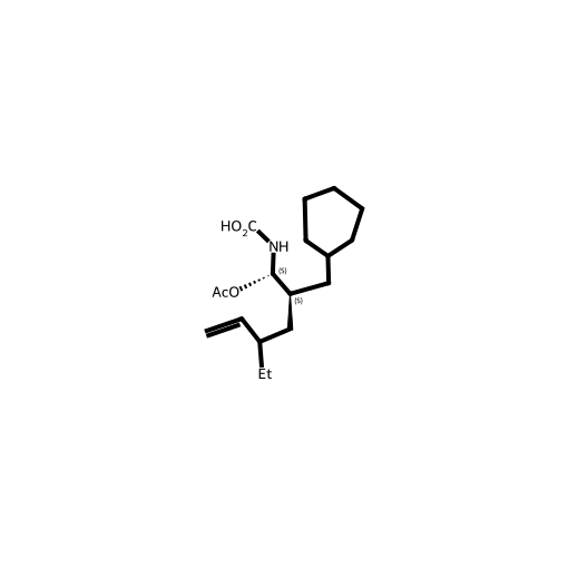 C=CC(CC)C[C@H](CC1CCCCC1)[C@@H](NC(=O)O)OC(C)=O